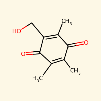 CC1=C(C)C(=O)C(CO)=C(C)C1=O